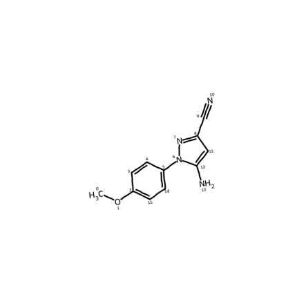 COc1ccc(-n2nc(C#N)cc2N)cc1